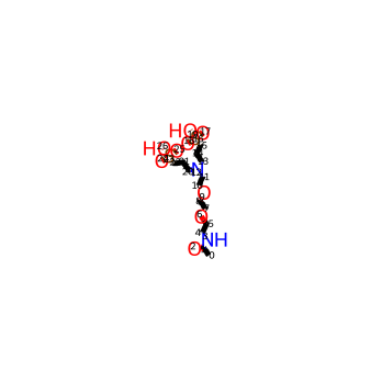 CC(=O)NCCOCCOCCN(CCCS(=O)(=O)O)CCCS(=O)(=O)O